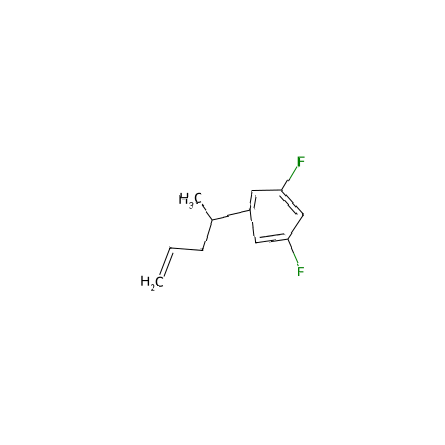 C=CCC(C)c1cc(F)cc(F)c1